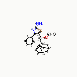 Nc1nc(-c2ccccc2)c(C(CC23CC4CC(CC(C4)C2)C3)OC=O)s1